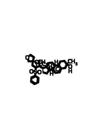 C[C@H](C(CC1(O)CCOC1)S(=O)(=O)c1ccccc1)[C@H]1CC[C@H]2[C@@H]3CC=C4C[C@@](C)(O)CC[C@]4(C)[C@H]3CC[C@]12C